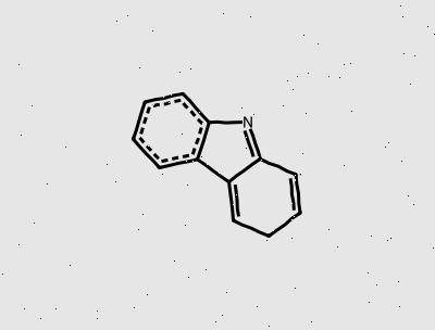 [C]1=CCC=C2C1=Nc1ccccc12